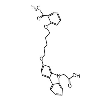 CC(=O)c1ccccc1OCCCCCOc1ccc2c3ccccc3n(CC(=O)O)c2c1